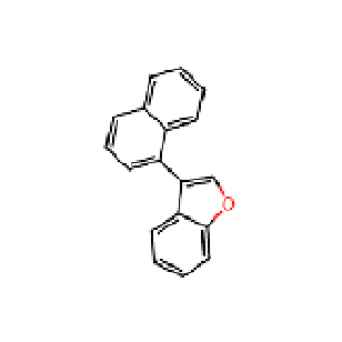 c1ccc2c(-c3coc4ccccc34)cccc2c1